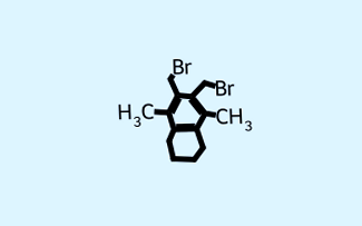 Cc1c(CBr)c(CBr)c(C)c2c1CCCC2